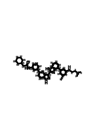 CN(C)CCNc1cc(F)cc(-c2cccc3[nH]c(-c4n[nH]c5ccc(-c6cncc(NC(=O)CC7CCCCC7)c6)nc45)nc23)c1